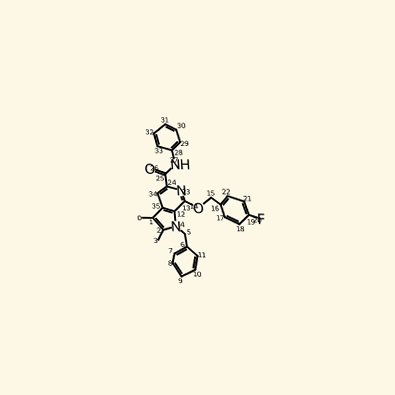 Cc1c(C)n(Cc2ccccc2)c2c(OCc3ccc(F)cc3)nc(C(=O)Nc3ccccc3)cc12